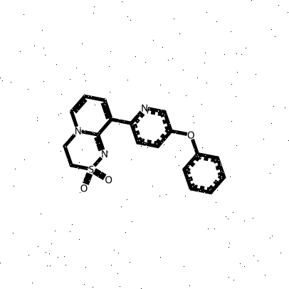 O=S1(=O)CCN2C=CC=C(c3ccc(Oc4ccccc4)cn3)C2=N1